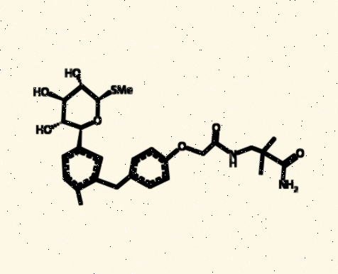 CS[C@H]1O[C@@H](c2ccc(C)c(Cc3ccc(OCC(=O)NCC(C)(C)C(N)=O)cc3)c2)[C@H](O)[C@@H](O)[C@@H]1O